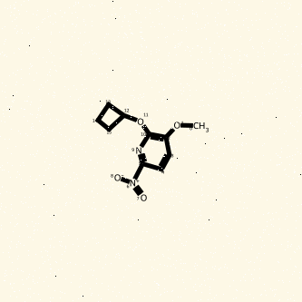 COc1ccc([N+](=O)[O-])nc1OC1CCC1